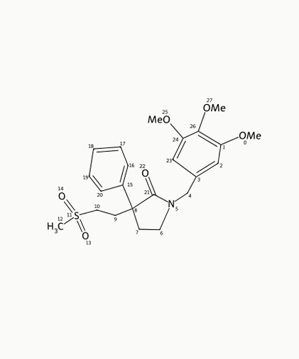 COc1cc(CN2CCC(CCS(C)(=O)=O)(c3ccccc3)C2=O)cc(OC)c1OC